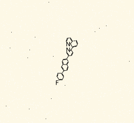 Fc1ccc(-c2ccc3cc(-c4ccc(-c5cccc6cccnc56)nc4)ccc3c2)cc1